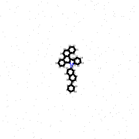 c1ccc(-c2ccc3cc(-n4c5ccccc5c5c6c7ccccc7ccc6c6ccccc6c54)ccc3c2)cc1